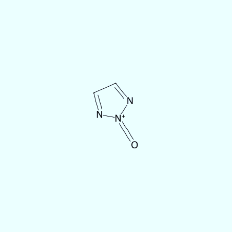 O=[N+]1N=CC=N1